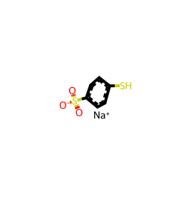 O=S(=O)([O-])c1ccc(S)cc1.[Na+]